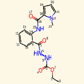 CCOC(=O)NNC(=O)c1ccccc1NC(=O)c1cccn1C